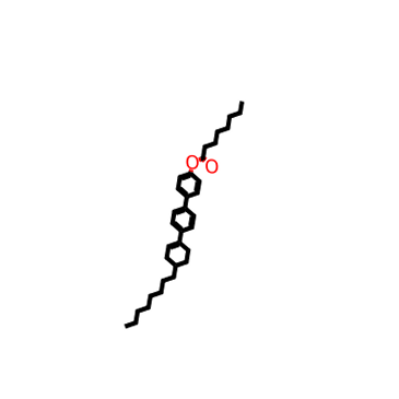 CCCCCCCCC1CC=C(c2ccc(-c3ccc(OC(=O)CCCCCCC)cc3)cc2)CC1